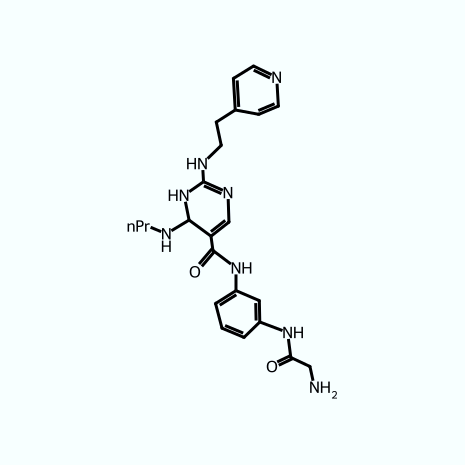 CCCNC1NC(NCCc2ccncc2)=NC=C1C(=O)Nc1cccc(NC(=O)CN)c1